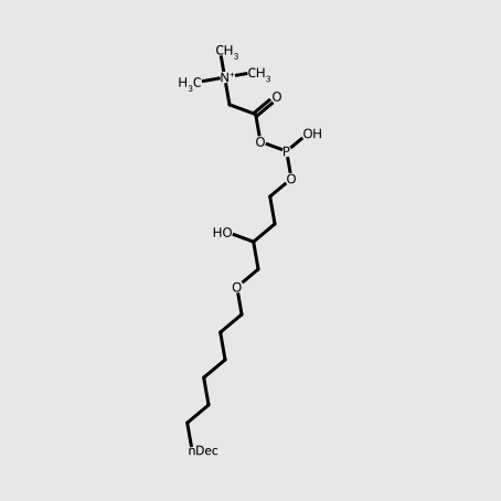 CCCCCCCCCCCCCCCCOCC(O)CCOP(O)OC(=O)C[N+](C)(C)C